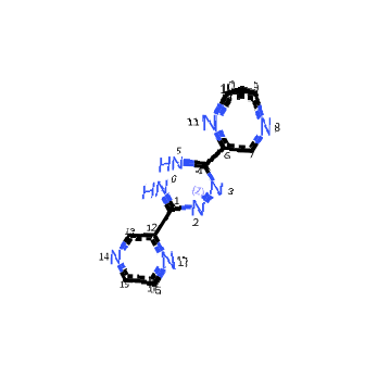 N=C(/N=N\C(=N)c1cnccn1)c1cnccn1